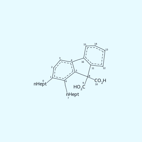 CCCCCCCc1ccc2c(c1CCCCCCC)C(C(=O)O)(C(=O)O)c1ccccc1-2